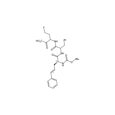 CC(C)CC(NC(=O)[C@H](C/C=C/c1ccccc1)NC(=O)OC(C)(C)C)C(=O)NC(CCF)C(=O)C(=O)O